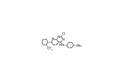 CC(C)(C)c1ccc(Nc2nc(Cl)nc3nc(-c4ccccc4C(F)(F)F)ccc23)cc1